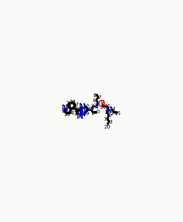 C=C/C(=C\C=C(/CCC)OCCN(CCC)CCCCC)c1cnc2c(-c3cccc4ncccc34)cnn2c1